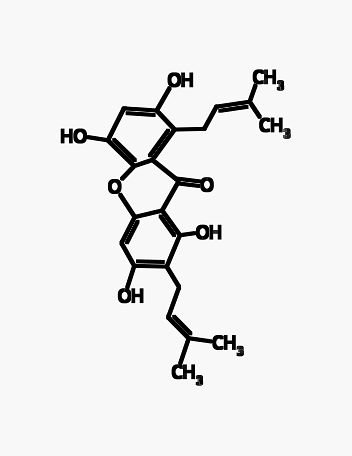 CC(C)=CCc1c(O)cc2oc3c(O)cc(O)c(CC=C(C)C)c3c(=O)c2c1O